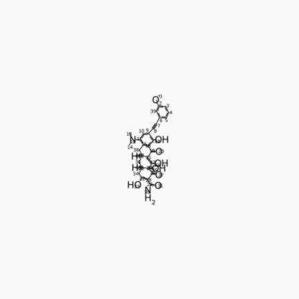 COc1cccc(C#Cc2cc(N(C)C)c3c(c2O)C(=O)C2=C(O)[C@]4(O)C(=O)C(C(N)=O)=C(O)C[C@@H]4C[C@@H]2C3)c1